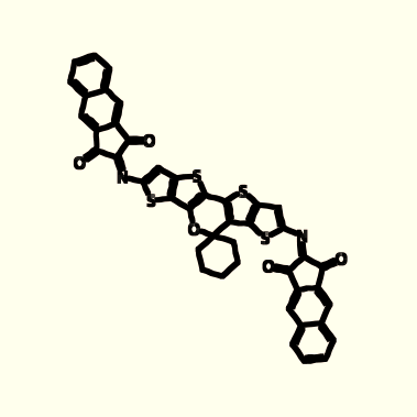 O=c1c(=Nc2cc3sc4c(c3s2)OC2(CCCCC2)c2c-4sc3cc(N=c4c(=O)c5cc6ccccc6cc5c4=O)sc23)c(=O)c2cc3ccccc3cc12